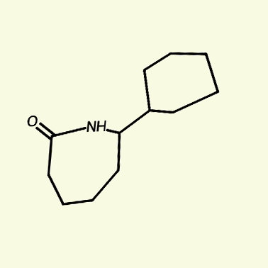 O=C1CCCCC(C2CCCCC2)N1